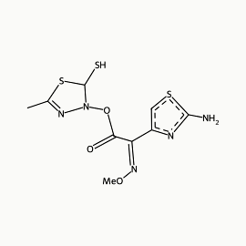 CO/N=C(\C(=O)ON1N=C(C)SC1S)c1csc(N)n1